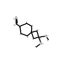 COC1(OC)CC2(CCC(C=O)CC2)C1